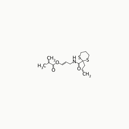 C=CCC1(C(=O)NCC=COC(=O)C(=C)C)SCCCS1